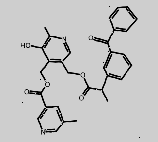 Cc1cncc(C(=O)OCc2c(COC(=O)C(C)c3cccc(C(=O)c4ccccc4)c3)cnc(C)c2O)c1